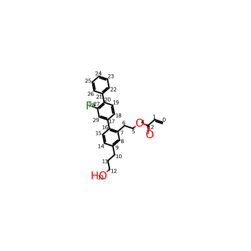 C=CC(=O)OCCc1cc(CCCO)ccc1-c1ccc(-c2ccccc2)c(F)c1